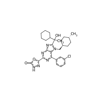 CC(O)(c1nc2nc(-c3n[nH]c(=O)o3)nc(-c3cccc(Cl)c3)c2n1C[C@H]1CC[C@H](C)CC1)C1CCCCC1